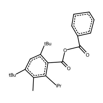 Cc1c(C(C)(C)C)cc(C(C)(C)C)c(C(=O)OC(=O)c2ccccc2)c1C(C)C